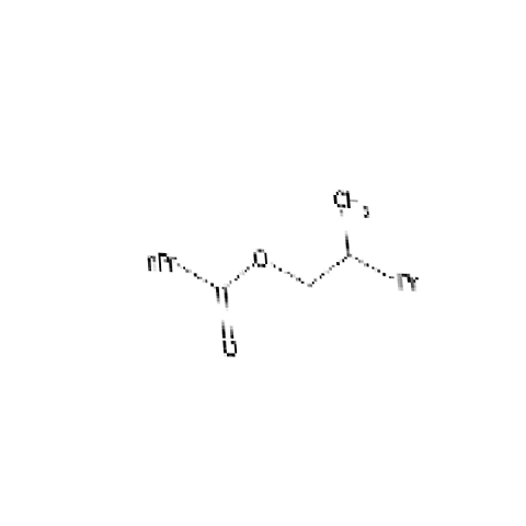 CCCC(=O)OCC(C)C(C)C